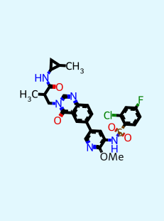 COc1ncc(-c2ccc3ncn(CC(C)C(=O)NC4CC4C)c(=O)c3c2)cc1NS(=O)(=O)c1ccc(F)cc1Cl